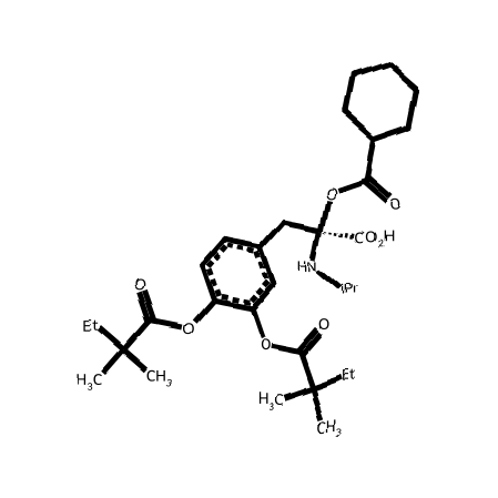 CCC(C)(C)C(=O)Oc1ccc(C[C@](NC(C)C)(OC(=O)C2CCCCC2)C(=O)O)cc1OC(=O)C(C)(C)CC